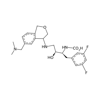 CN(C)Cc1ccc2c(c1)C(NC[C@H](O)[C@H](Cc1cc(F)cc(F)c1)NC(=O)O)COC2